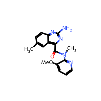 COc1cccnc1N(C)C(=O)c1nc(N)nc2ccc(C)cc12